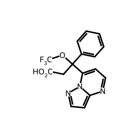 O=C(O)CC(OC(F)(F)F)(c1ccccc1)c1ccnc2ccnn12